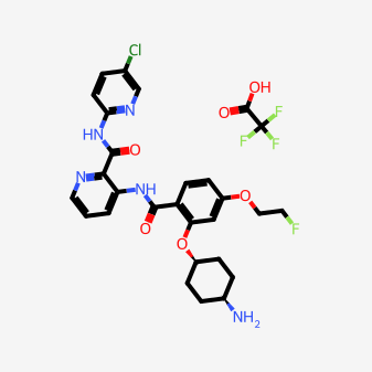 N[C@H]1CC[C@@H](Oc2cc(OCCF)ccc2C(=O)Nc2cccnc2C(=O)Nc2ccc(Cl)cn2)CC1.O=C(O)C(F)(F)F